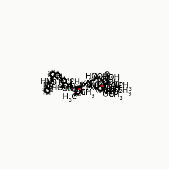 Cc1c(-c2ccc(N3CCc4cccc(C(=O)Nc5nc6ccccc6s5)c4C3)nc2C(=O)O)cnn1CC12CC3(C)CC(C)(C1)CC(OCCN(CCC(O)CO)C(=O)OCc1ccc(NC(=O)C(C)NC(=O)C(N)C(C)C)cc1CC[C@@H]1O[C@H](C(=O)O)[C@@H](O)[C@H](O)[C@H]1O)(C3)C2